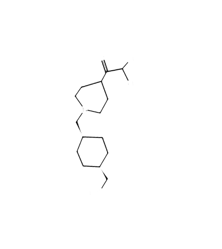 CC[C@H]1CC[C@@H](CN2CCC(C(=O)C(C)C)CC2)CC1